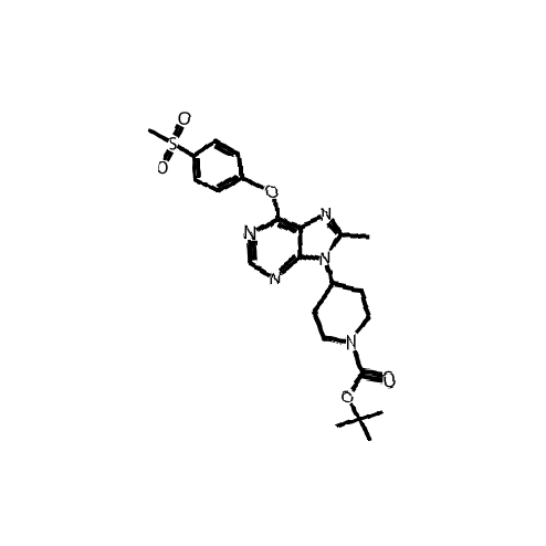 Cc1nc2c(Oc3ccc(S(C)(=O)=O)cc3)ncnc2n1C1CCN(C(=O)OC(C)(C)C)CC1